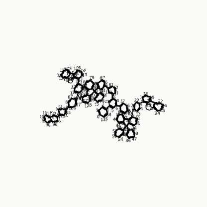 c1ccc(-c2cc(-c3ccc(N(c4ccc(-c5cccc6c5oc5ccccc56)cc4)c4cccc5c4-c4ccccc4C5(c4ccccc4)c4ccccc4)cc3)cc(-c3cccc(-c4cccc(C5(c6ccccc6)c6ccccc6-c6c(N(c7ccc(-c8ccc(-c9ccc%10ccccc%10c9)cc8)cc7)c7ccc(-c8cccc9c8oc8ccccc89)cc7)cccc65)c4)c3)c2)cc1